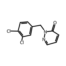 O=c1cccnn1Cc1ccc(Cl)c(Cl)c1